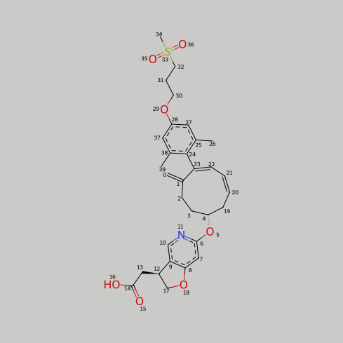 C=C1CC[C@@H](Oc2cc3c(cn2)[C@H](CC(=O)O)CO3)C/C=C\C=C/1c1c(C)cc(OCCCS(C)(=O)=O)cc1C